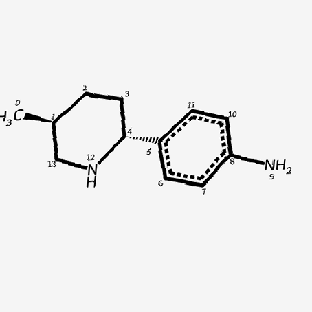 C[C@H]1CC[C@H](c2ccc(N)cc2)NC1